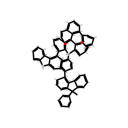 CC1(c2ccccc2)c2ccccc2-c2c(-c3ccc(N(c4ccccc4-c4cccc5cccc(-c6ccccc6)c45)c4ccccc4-c4cccc5oc6ccccc6c45)cc3)cccc21